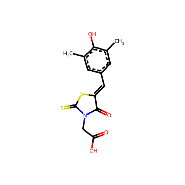 Cc1cc(/C=C2\SC(=S)N(CC(=O)O)C2=O)cc(C)c1O